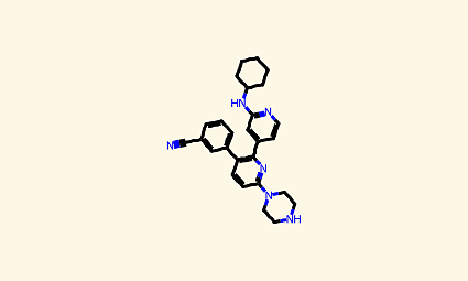 N#Cc1cccc(-c2ccc(N3CCNCC3)nc2-c2ccnc(NC3CCCCC3)c2)c1